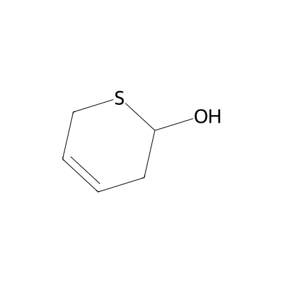 OC1CC=CCS1